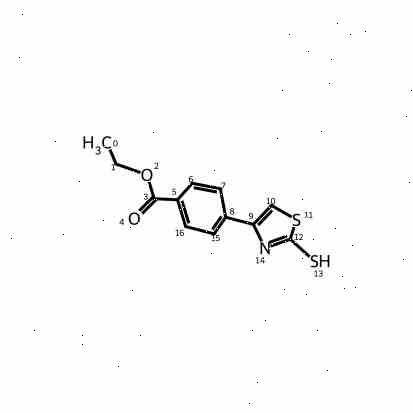 CCOC(=O)c1ccc(-c2csc(S)n2)cc1